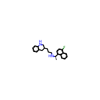 C[C@@H](NCCCC1CNc2ccccc2C1)c1ccc(F)c2ccccc12